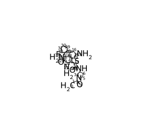 C=CC(=O)N1CCC(NC(=O)c2sc3c(N)ccc4c3c2C(N)C(=O)C4(N)c2ccccc2F)C1